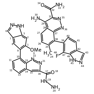 COc1cc2[nH]ncc2cc1-c1cccc2cc(C(=O)NN)nnc12.Cc1ccc2c(N)c(C(N)=O)nnc2c1-c1ccc2cn[nH]c2c1F